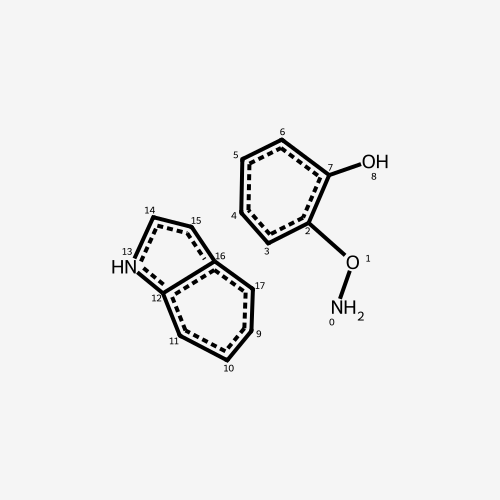 NOc1ccccc1O.c1ccc2[nH]ccc2c1